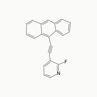 Fc1ncccc1C#Cc1c2ccccc2cc2ccccc12